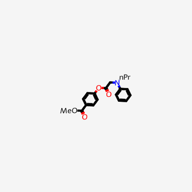 CCCN(CC(=O)Oc1ccc(C(=O)OC)cc1)c1ccccc1